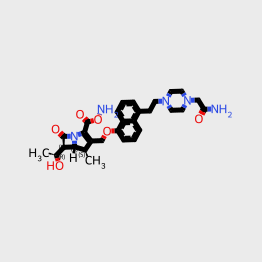 C[C@@H](O)[C@H]1C(=O)N2C(C(=O)ON)=C(COc3cccc4c(CCN5CCN(CC(N)=O)CC5)cccc34)[C@H](C)[C@H]12